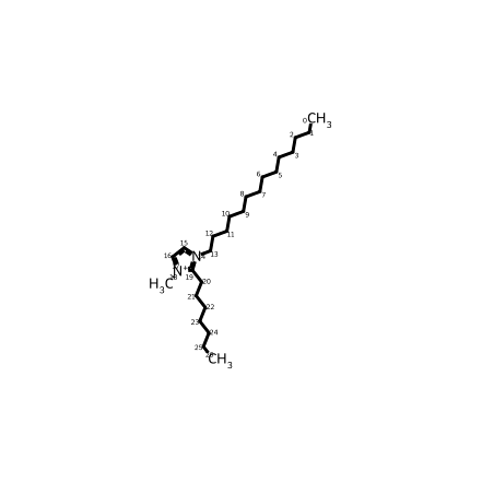 CCCCCCCCCCCCCCn1cc[n+](C)c1CCCCCCC